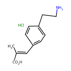 CC(=Cc1ccc(CCN)cc1)C(=O)O.Cl